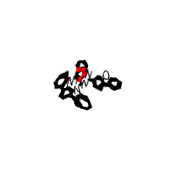 C1=Cc2c(c3ccc4c5ccccc5n(-c5nc(-c6ccccc6)nc(-c6ccc7c(c6)oc6ccccc67)n5)c4c3n2-c2ccccc2)CC1